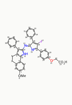 COc1ccc2c(c1)CCc1c-2[nH]c(N=C2N=C(c3ccc(OCC(=O)O)cc3)C(I)=C2c2ccccc2)c1-c1ccccc1